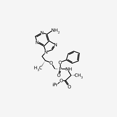 CC(C)OC(=O)[C@@H](C)N[P@](=O)(CO[C@H](C)Cn1cnc2c(N)ncnc21)Oc1ccccc1